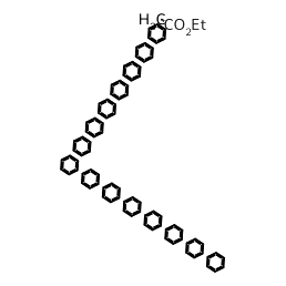 CCOC(C)=O.c1ccccc1.c1ccccc1.c1ccccc1.c1ccccc1.c1ccccc1.c1ccccc1.c1ccccc1.c1ccccc1.c1ccccc1.c1ccccc1.c1ccccc1.c1ccccc1.c1ccccc1.c1ccccc1.c1ccccc1